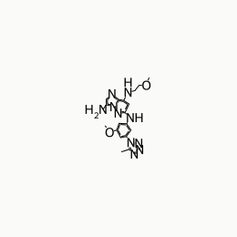 COCCNc1cc(Nc2cc(OC)cc(-n3nnnc3C)c2)nn2c(N)cnc12